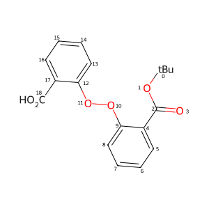 CC(C)(C)OC(=O)c1ccccc1OOc1ccccc1C(=O)O